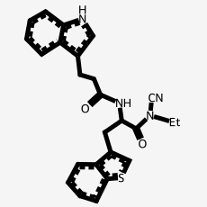 CCN(C#N)C(=O)C(Cc1csc2ccccc12)NC(=O)CCc1c[nH]c2ccccc12